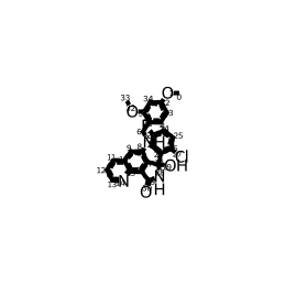 COc1ccc(CNc2cc3cccnc3c3c2C(O)(c2cc(F)ccc2Cl)NC3=O)c(OC)c1